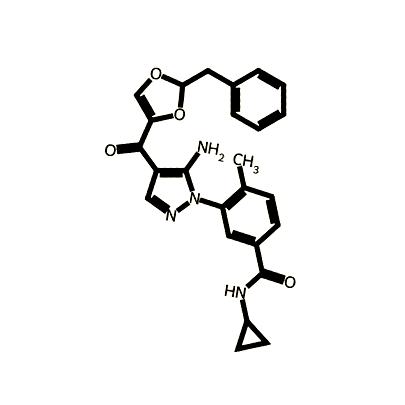 Cc1ccc(C(=O)NC2CC2)cc1-n1ncc(C(=O)C2=COC(Cc3ccccc3)O2)c1N